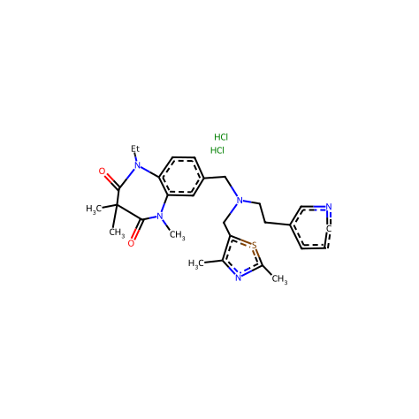 CCN1C(=O)C(C)(C)C(=O)N(C)c2cc(CN(CCc3cccnc3)Cc3sc(C)nc3C)ccc21.Cl.Cl